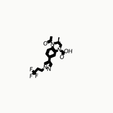 CC(=O)N1c2ccc(-c3cnn(CCC(F)(F)F)c3)cc2N(C(=O)O)C[C@@H]1C